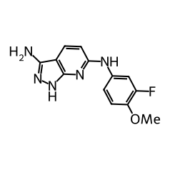 COc1ccc(Nc2ccc3c(N)n[nH]c3n2)cc1F